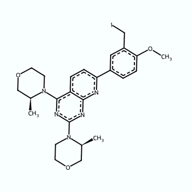 COc1ccc(-c2ccc3c(N4CCOC[C@@H]4C)nc(N4CCOC[C@@H]4C)nc3n2)cc1CI